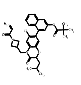 C=CC(=O)N1CC(CN2C(=O)C(CC(C)C)Oc3cc(-c4cc(OC(=O)C(C)(C)C)cc5ccccc45)c(Cl)cc32)C1